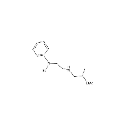 CCN(CCNCC(C)OC(C)=O)c1ccccc1